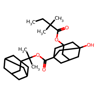 CCC(C)(C)C(=O)OC12CC3CC(O)(C1)CC(C(=O)OC(C)(C)C14CC5CC(CC(C5)C1)C4)(C3)C2